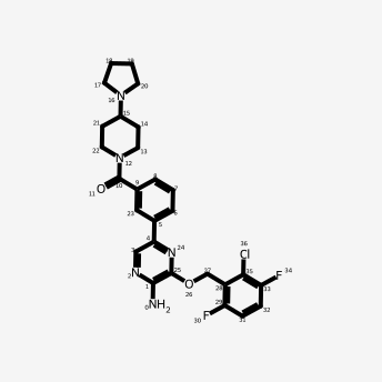 Nc1ncc(-c2cccc(C(=O)N3CCC(N4CCCC4)CC3)c2)nc1OCc1c(F)ccc(F)c1Cl